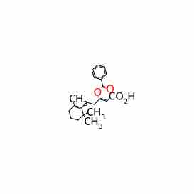 CC1=C(CC/C(=C/C(=O)O)OC(=O)c2ccccc2)C(C)(C)CCC1